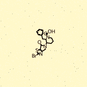 O=C(O)N1CCCC(N2Cc3nc(Br)sc3C2=O)C1Cc1ccccc1